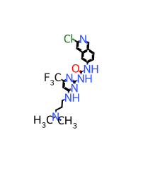 CN(C)CCCNc1cc(C(F)(F)F)nc(NC(=O)Nc2ccc3cnc(Cl)cc3c2)n1